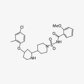 COc1ccccc1C(=O)NS(=O)(=O)N1CCC(C2CC(Oc3ccc(Cl)cc3C)CCN2)CC1